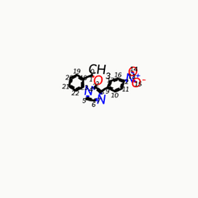 CC(Oc1nccnc1-c1ccc([N+](=O)[O-])cc1)c1ccccc1